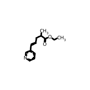 CCOC(=O)C(C)CC=Cc1cccnc1